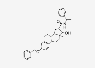 CC(NC(=O)C1CC2C3CCc4cc(OCc5ccccc5)ccc4C3CCC2(C)C1O)c1ccccc1